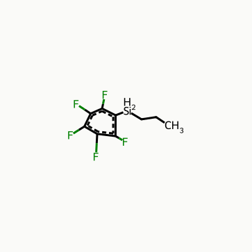 CCC[SiH2]c1c(F)c(F)c(F)c(F)c1F